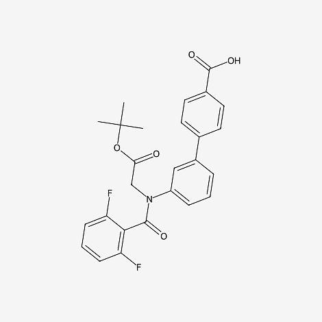 CC(C)(C)OC(=O)CN(C(=O)c1c(F)cccc1F)c1cccc(-c2ccc(C(=O)O)cc2)c1